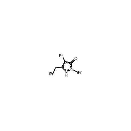 CCc1c(CC(C)C)[nH]n(C(C)C)c1=O